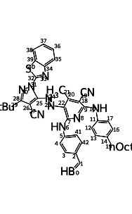 B=Cc1ccc(Nc2nc(Nc3ccc(CCCCCCCC)cc3)c(C#N)c(C)c2N=Nc2c(C#N)c(C(C)(C)C)nn2-c2nc3ccccc3s2)cc1